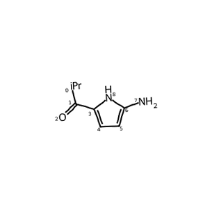 CC(C)C(=O)c1ccc(N)[nH]1